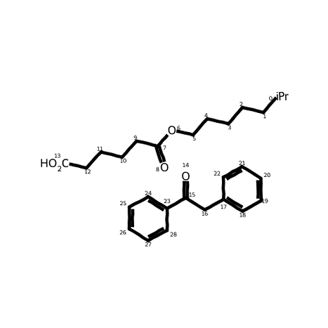 CC(C)CCCCCOC(=O)CCCCC(=O)O.O=C(Cc1ccccc1)c1ccccc1